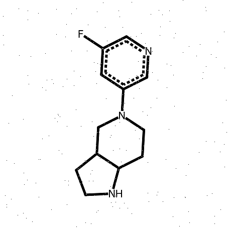 Fc1cncc(N2CCC3NCCC3C2)c1